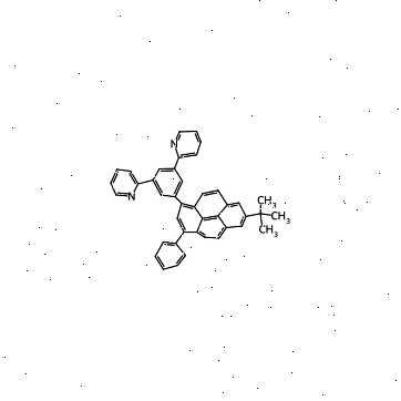 CC(C)(C)c1cc2ccc3c(-c4ccccc4)cc(-c4cc(-c5ccccn5)cc(-c5ccccn5)c4)c4ccc(c1)c2c34